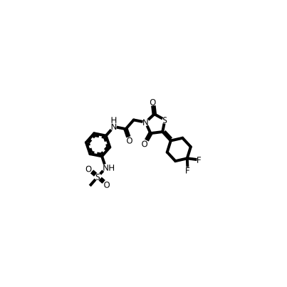 CS(=O)(=O)Nc1cccc(NC(=O)CN2C(=O)SC(=C3CCC(F)(F)CC3)C2=O)c1